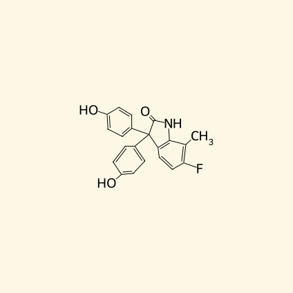 Cc1c(F)ccc2c1NC(=O)C2(c1ccc(O)cc1)c1ccc(O)cc1